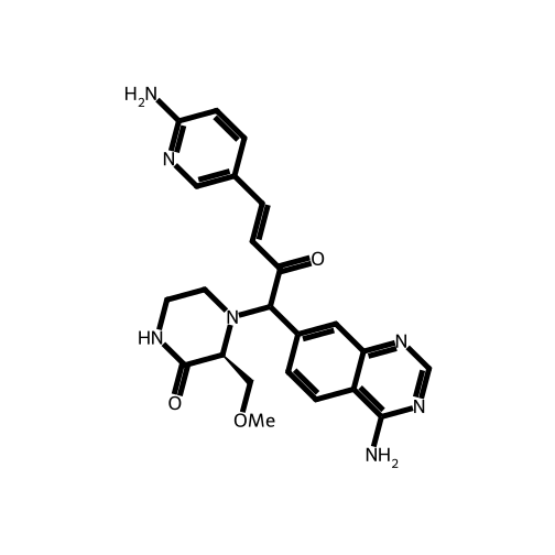 COC[C@H]1C(=O)NCCN1C(C(=O)C=Cc1ccc(N)nc1)c1ccc2c(N)ncnc2c1